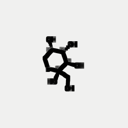 OC[C@]1(O)SC[C@H](O)[C@H](O)[C@H]1O